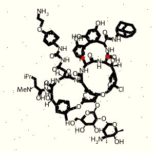 CN[C@H](CC(C)C)C(=O)N[C@H]1C(=O)N[C@@H](CC(=O)NC(=O)Nc2ccc(OCCN)cc2)C(=O)N[C@H]2C(=O)N[C@H]3C(=O)N[C@H](C(=O)N[C@H](C(=O)NC4C5CC6CC(C5)CC4C6)c4cc(O)cc(O)c4-c4cc3ccc4O)[C@H](O)c3ccc(c(Cl)c3)Oc3cc2cc(c3O[C@@H]2O[C@H](CO)[C@@H](O)[C@H](O)[C@H]2O[C@H]2C[C@](C)(N)[C@H](O)[C@H](C)O2)Oc2ccc(cc2C)[C@H]1O